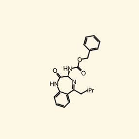 CC(C)CC1=N[C@H](NC(=O)OCc2ccccc2)C(=O)Nc2ccccc21